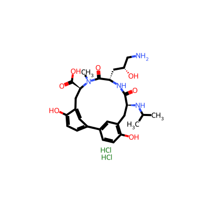 CC(C)N[C@H]1Cc2cc(ccc2O)-c2ccc(O)c(c2)C[C@@H](C(=O)O)N(C)C(=O)[C@H](C[C@@H](O)CN)NC1=O.Cl.Cl